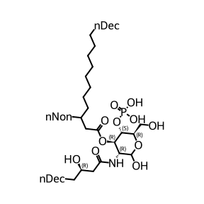 CCCCCCCCCCCCCCCCCCC(CCCCCCCCC)CC(=O)O[C@H]1[C@H](OP(=O)(O)O)[C@@H](CO)OC(O)[C@@H]1NC(=O)C[C@H](O)CCCCCCCCCCC